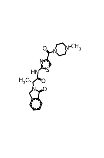 C[C@H](C(=O)Nc1nc(C(=O)N2CCN(C)CC2)cs1)N1Cc2ccccc2C1=O